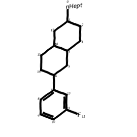 CCCCCCCC1CCC2CC(c3cccc(F)c3)CCC2C1